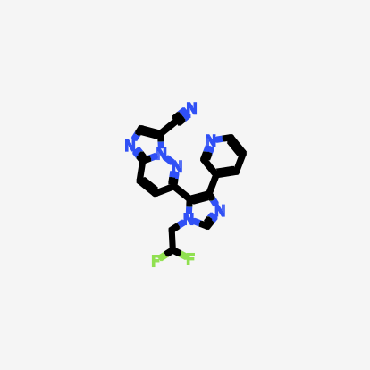 N#Cc1cnc2ccc(-c3c(-c4cccnc4)ncn3CC(F)F)nn12